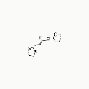 FC(=CCC1SCCCS1)COC1CCCCO1